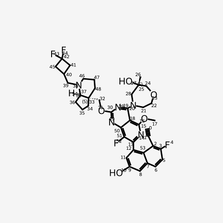 C#Cc1c(F)ccc2cc(O)cc(-c3nc(OC)c4c(N5CCOC[C@@](C)(O)C5)nc(OC[C@]56CCC[C@H]5N(CC5CC(F)(F)C5)CCC6)nc4c3F)c12